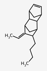 CC=C1C(CCCC)C2CC1C1C3C=CC(C3)C21